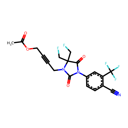 CC(=O)OCC#CCN1C(=O)N(c2ccc(C#N)c(C(F)(F)F)c2)C(=O)C1(CF)CF